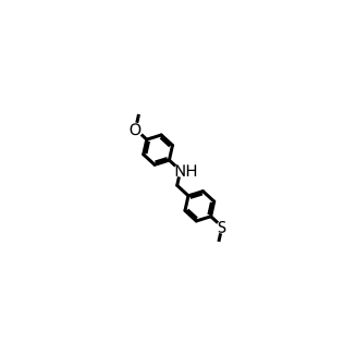 COc1ccc(NCc2ccc(SC)cc2)cc1